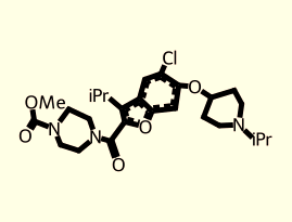 COC(=O)N1CCN(C(=O)c2oc3cc(OC4CCN(C(C)C)CC4)c(Cl)cc3c2C(C)C)CC1